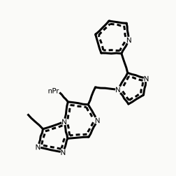 CCCc1c(Cn2ccnc2-c2ccccn2)ncc2nnc(C)n12